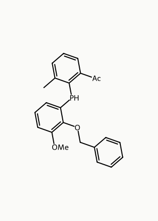 COc1cccc(Pc2c(C)cccc2C(C)=O)c1OCc1ccccc1